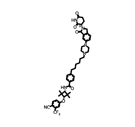 CC1(C)[C@H](NC(=O)c2ccc(CCCCCCN3CCN(c4ccc5c(c4)C(=O)N([C@H]4CCC(=O)NC4=O)C5)CC3)cc2)C(C)(C)[C@H]1Oc1ccc(C#N)c(C(F)(F)F)c1